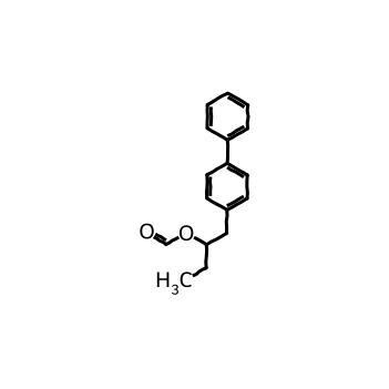 CCC(Cc1ccc(-c2ccccc2)cc1)OC=O